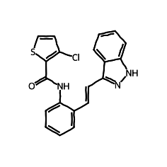 O=C(Nc1ccccc1C=Cc1n[nH]c2ccccc12)c1sccc1Cl